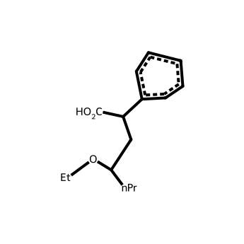 CCCC(CC(C(=O)O)c1ccccc1)OCC